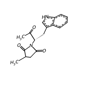 CC(=O)[C@H](Cc1c[nH]c2ccccc12)N1C(=O)CC(C)C1=O